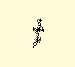 C=C(C)Oc1ccc(C(=O)NNC(=O)c2ccc(-c3nnc(-c4ccc(C(=C)C)cc4)o3)cc2)cc1